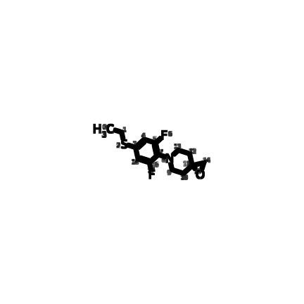 CCSc1cc(F)c(N2CCC3(CC2)CO3)c(F)c1